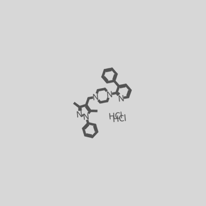 Cc1nn(-c2ccccc2)c(C)c1CN1CCN(c2ncccc2-c2ccccc2)CC1.Cl.Cl